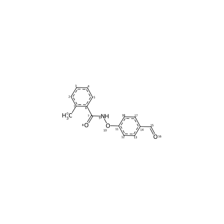 Cc1ccccc1C(=O)NOc1ccc(C=O)cc1